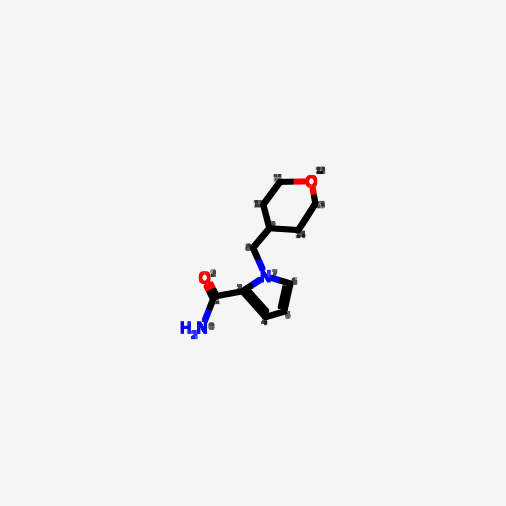 NC(=O)c1cccn1CC1CCOCC1